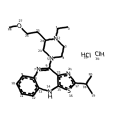 CCN1CCN(C2=Nc3ccccc3Nc3sc(C(C)C)nc32)CC1CCOC.Cl.Cl